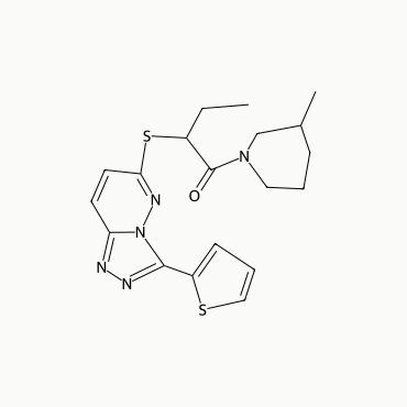 CCC(Sc1ccc2nnc(-c3cccs3)n2n1)C(=O)N1CCCC(C)C1